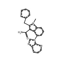 Cn1c(Cc2ccccc2)c(C(N)=O)c2c(-n3cnc4cccnc43)cccc21